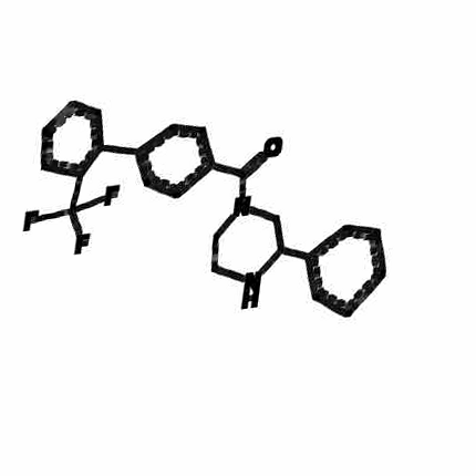 O=C(c1ccc(-c2ccccc2C(F)(F)F)cc1)N1CCNC(c2ccccc2)C1